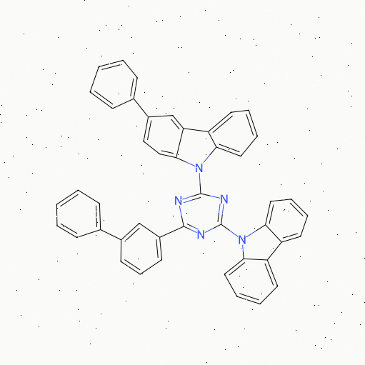 c1ccc(-c2cccc(-c3nc(-n4c5ccccc5c5ccccc54)nc(-n4c5ccccc5c5cc(-c6ccccc6)ccc54)n3)c2)cc1